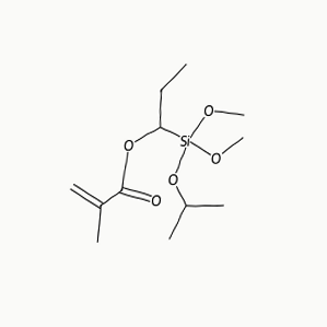 C=C(C)C(=O)OC(CC)[Si](OC)(OC)OC(C)C